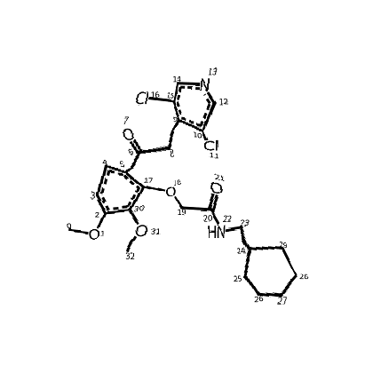 COc1ccc(C(=O)Cc2c(Cl)cncc2Cl)c(OCC(=O)NCC2CCCCC2)c1OC